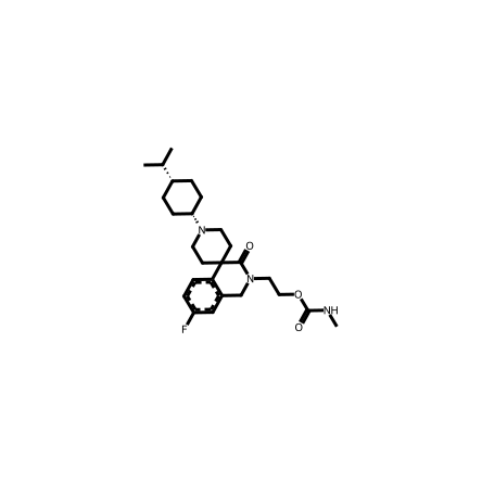 CNC(=O)OCCN1Cc2cc(F)ccc2C2(CCN([C@H]3CC[C@@H](C(C)C)CC3)CC2)C1=O